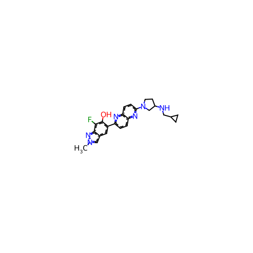 Cn1cc2cc(-c3ccc4nc(N5CCC(NCC6CC6)C5)ccc4n3)c(O)c(F)c2n1